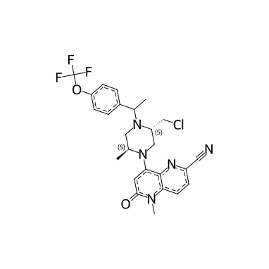 CC(c1ccc(OC(F)(F)F)cc1)N1C[C@H](C)N(c2cc(=O)n(C)c3ccc(C#N)nc23)C[C@H]1CCl